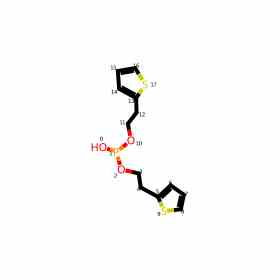 OP(OCCc1cccs1)OCCc1cccs1